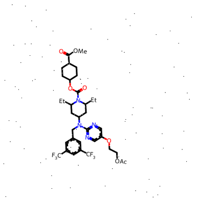 CCC1CC(N(Cc2cc(C(F)(F)F)cc(C(F)(F)F)c2)c2ncc(OCCOC(C)=O)cn2)CC(CC)N1C(=O)OC1CCC(C(=O)OC)CC1